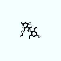 CCOCc1oc(C)cc(=O)c1C(=O)Nc1c(CC)cc(Br)cc1CC